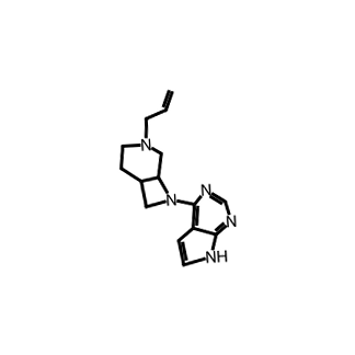 C=CCN1CCC2CN(c3ncnc4[nH]ccc34)C2C1